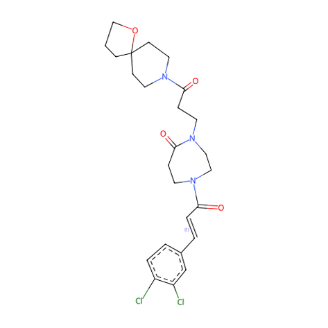 O=C(/C=C/c1ccc(Cl)c(Cl)c1)N1CCC(=O)N(CCC(=O)N2CCC3(CCCO3)CC2)CC1